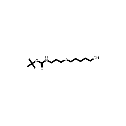 CC(C)(C)OC(=O)NCCCOCCCCCO